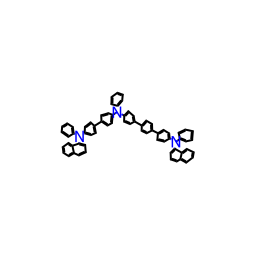 c1ccc(N(c2ccc(-c3ccc(-c4ccc(N(c5ccccc5)c5cccc6ccccc56)cc4)cc3)cc2)c2ccc(-c3ccc(N(c4ccccc4)c4cccc5ccccc45)cc3)cc2)cc1